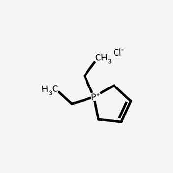 CC[P+]1(CC)CC=CC1.[Cl-]